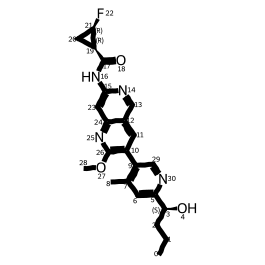 CCC[C@H](O)c1cc(C)c(-c2cc3cnc(NC(=O)[C@H]4C[C@H]4F)cc3nc2OC)cn1